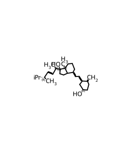 C=C1CC[C@H](O)CC1=CC=C1CCC[C@@]2(C)C1CC[C@]2(O)[C@H](C)C=C[C@H](C)C(C)C